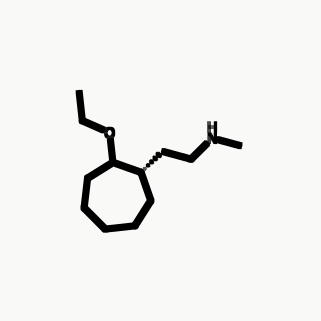 CCOC1CCCCC[C@H]1CCNC